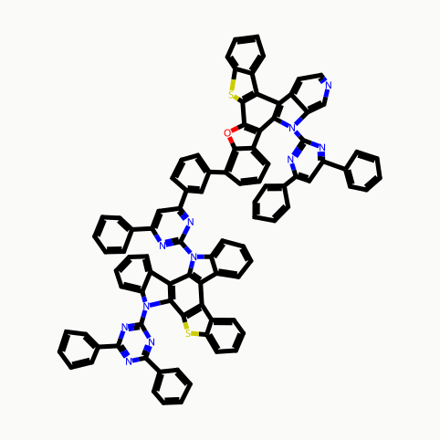 c1ccc(-c2cc(-c3ccccc3)nc(-n3c4cnccc4c4c5c6ccccc6sc5c5oc6c(-c7cccc(-c8cc(-c9ccccc9)nc(-n9c%10ccccc%10c%10c%11c%12ccccc%12sc%11c%11c(c%12ccccc%12n%11-c%11nc(-c%12ccccc%12)nc(-c%12ccccc%12)n%11)c%109)n8)c7)cccc6c5c43)n2)cc1